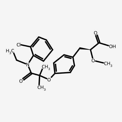 CCN(C(=O)C(C)(C)Oc1ccc(C[C@H](OC)C(=O)O)cc1)c1ccccc1Cl